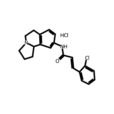 Cl.O=C(C=Cc1ccccc1Cl)Nc1ccc2c(c1)C1CCCN1CC2